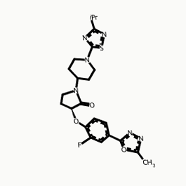 Cc1nnc(-c2ccc(O[C@H]3CCN(C4CCN(c5nc(C(C)C)ns5)CC4)C3=O)c(F)c2)o1